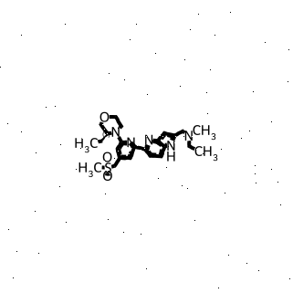 CC[C@H]1COCCN1c1cc(CS(C)(=O)=O)cc(-c2ccc3[nH]c(CN(C)CC)cc3n2)n1